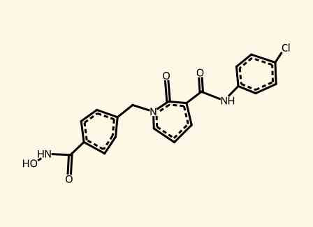 O=C(NO)c1ccc(Cn2cccc(C(=O)Nc3ccc(Cl)cc3)c2=O)cc1